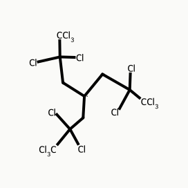 ClC(Cl)(Cl)C(Cl)(Cl)C[C](CC(Cl)(Cl)C(Cl)(Cl)Cl)CC(Cl)(Cl)C(Cl)(Cl)Cl